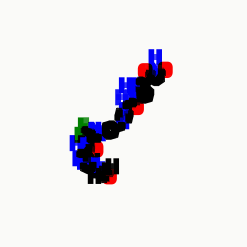 O=C1CCC(c2c[nH]c3c(NC(=O)CN4CCN(CC5CCC(n6cc(NC(=O)c7cnn8ccc(N9C[C@@H]%10C[C@H]9CO%10)nc78)c(C(F)F)n6)CC5)CC4)cccc23)C(=O)N1